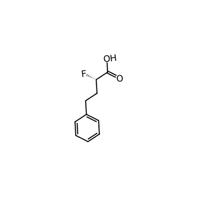 O=C(O)[C@@H](F)CCc1ccccc1